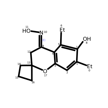 CCc1cc2c(c(CC)c1O)/C(=N/O)CC1(CCC1)O2